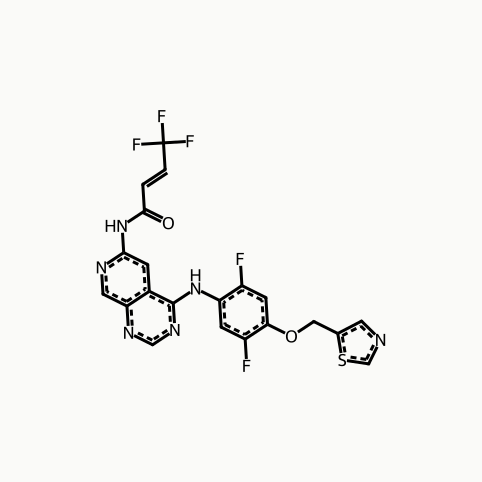 O=C(C=CC(F)(F)F)Nc1cc2c(Nc3cc(F)c(OCc4cncs4)cc3F)ncnc2cn1